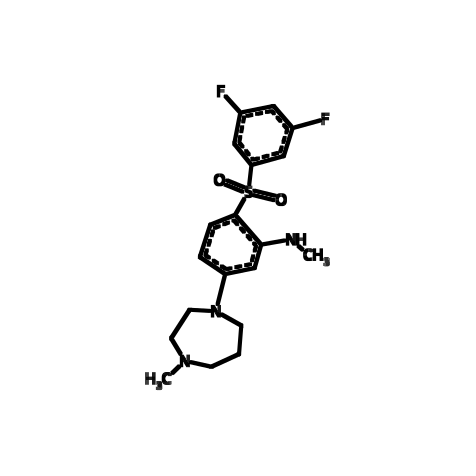 CNc1cc(N2CCCN(C)CC2)ccc1S(=O)(=O)c1cc(F)cc(F)c1